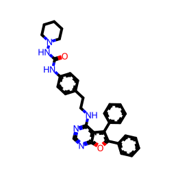 O=C(Nc1ccc(CCNc2ncnc3oc(-c4ccccc4)c(-c4ccccc4)c23)cc1)NN1CCCCC1